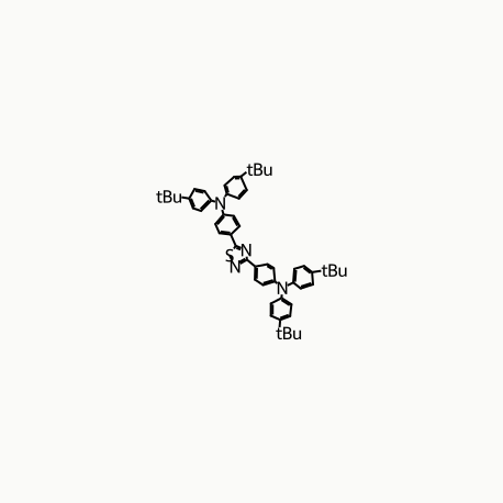 CC(C)(C)c1ccc(N(c2ccc(-c3nsc(-c4ccc(N(c5ccc(C(C)(C)C)cc5)c5ccc(C(C)(C)C)cc5)cc4)n3)cc2)c2ccc(C(C)(C)C)cc2)cc1